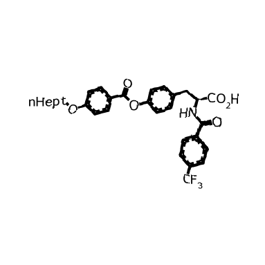 CCCCCCCOc1ccc(C(=O)Oc2ccc(C[C@H](NC(=O)c3ccc(C(F)(F)F)cc3)C(=O)O)cc2)cc1